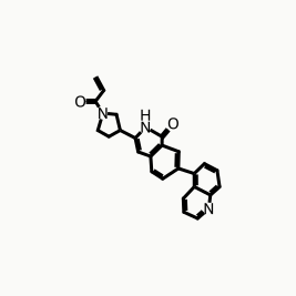 C=CC(=O)N1CCC(c2cc3ccc(-c4cccc5ncccc45)cc3c(=O)[nH]2)C1